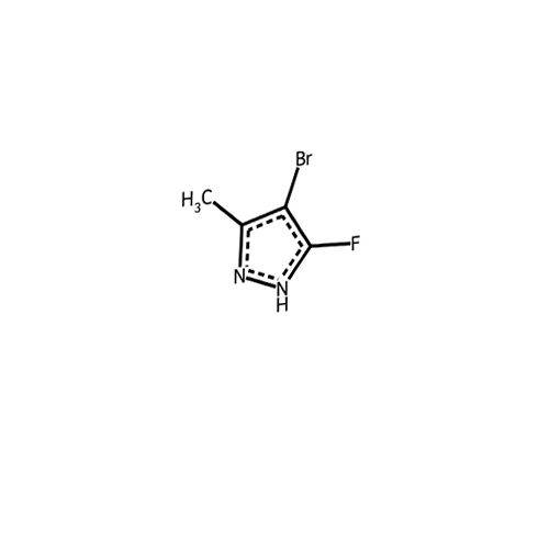 Cc1n[nH]c(F)c1Br